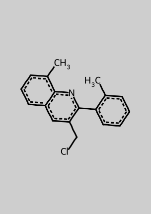 Cc1ccccc1-c1nc2c(C)cccc2cc1CCl